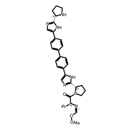 COO/C=N\[C@H](C(=O)N1CCC[C@H]1c1ncc(-c2ccc(-c3ccc(-c4cnc([C@@H]5CCCN5)[nH]4)cc3)cc2)[nH]1)C(C)C